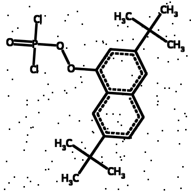 CC(C)(C)c1cc(OOP(=O)(Cl)Cl)c2cc(C(C)(C)C)ccc2c1